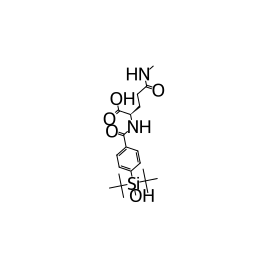 CNC(=O)CC[C@@H](NC(=O)c1ccc([Si](O)(C(C)(C)C)C(C)(C)C)cc1)C(=O)O